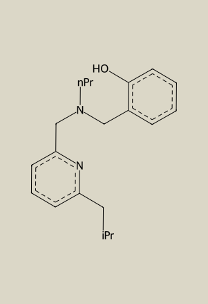 CCCN(Cc1cccc(CC(C)C)n1)Cc1ccccc1O